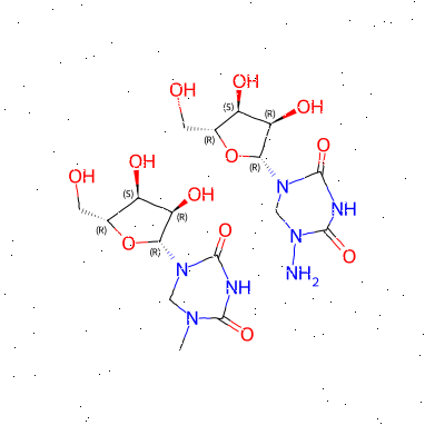 CN1CN([C@@H]2O[C@H](CO)[C@@H](O)[C@H]2O)C(=O)NC1=O.NN1CN([C@@H]2O[C@H](CO)[C@@H](O)[C@H]2O)C(=O)NC1=O